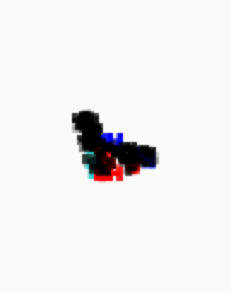 COc1cc(C=CC(=O)Nc2cccc3c2Cc2ccccc2-3)ccc1-n1ccnc1.O=C(O)C(F)(F)F